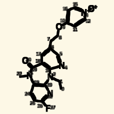 CCN1c2ncc(CCOc3cc[n+]([O-])cc3)cc2C(=O)N(C)c2ccc(F)nc21